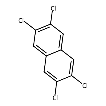 Clc1cc2cc(Cl)c(Cl)cc2cc1Cl